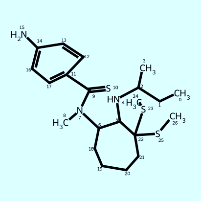 CCC(C)NC1C(N(C)C(=S)c2ccc(N)cc2)CCCCC1(SC)SC